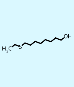 CCSCCCCCCCCO